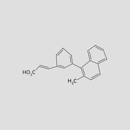 Cc1ccc2ccccc2c1-c1cccc(/C=C/C(=O)O)c1